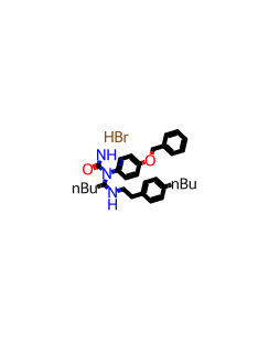 Br.CCCCc1ccc(CCNC(CCCC)N(C(N)=O)c2ccc(OCc3ccccc3)cc2)cc1